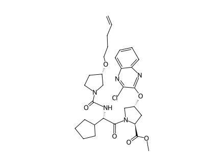 C=CCCCO[C@H]1CCN(C(=O)N[C@H](C(=O)N2C[C@H](Oc3nc4ccccc4nc3Cl)C[C@H]2C(=O)OC)C2CCCC2)C1